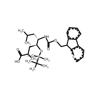 CC(C)C[C@H](NC(=O)OCC1c2ccccc2-c2ccccc21)[C@H](C[C@@H](C)C(=O)O)O[Si](C)(C)C(C)(C)C